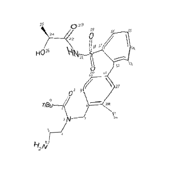 CCCCC(=O)N(CCN)Cc1ccc(-c2ccccc2S(=O)(=O)NC(=O)[C@H](C)O)cc1F